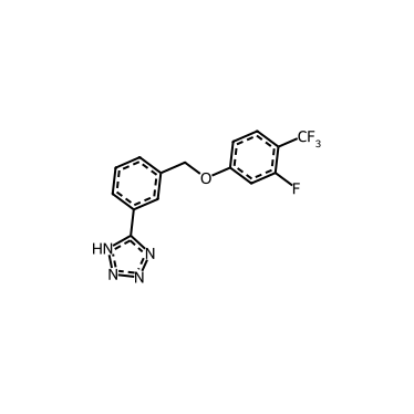 Fc1cc(OCc2cccc(-c3nnn[nH]3)c2)ccc1C(F)(F)F